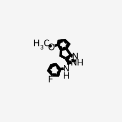 COc1cccc2c1Cc1c-2n[nH]c1Nc1cccc(F)c1